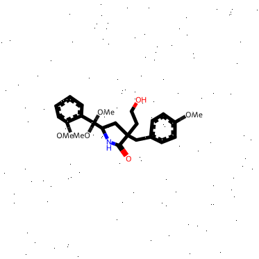 COc1ccc(CC2(CCO)CC(C(OC)(OC)c3ccccc3OC)NC2=O)cc1